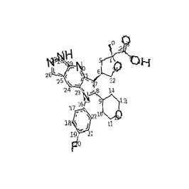 C[C@]1(C(=O)O)C[C@H](c2c(C3CCOCC3)n(-c3ccc(F)cc3)c3cc4cn[nH]c4nc23)CO1